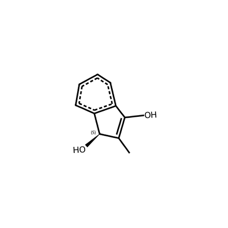 CC1=C(O)c2ccccc2[C@@H]1O